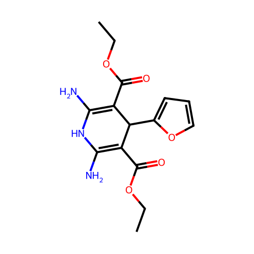 CCOC(=O)C1=C(N)NC(N)=C(C(=O)OCC)C1c1ccco1